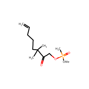 C=CCCCC(C)(C)C(=O)COP(C)(=O)OC